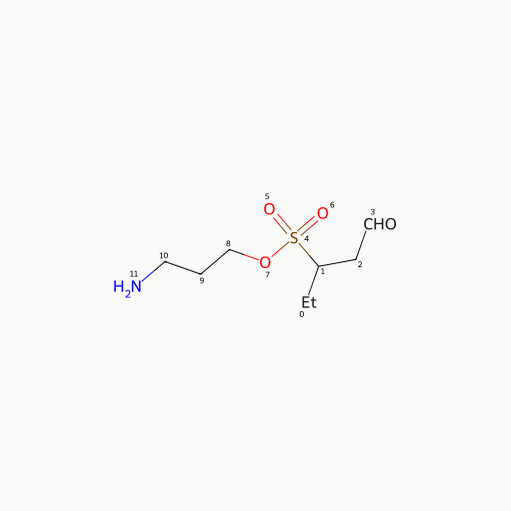 CCC(CC=O)S(=O)(=O)OCCCN